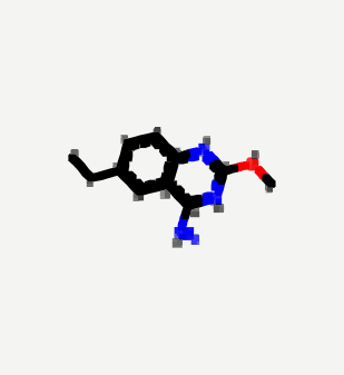 CCc1ccc2nc(OC)nc(N)c2c1